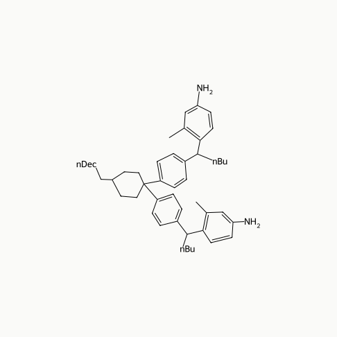 CCCCCCCCCCCC1CCC(c2ccc(C(CCCC)c3ccc(N)cc3C)cc2)(c2ccc(C(CCCC)c3ccc(N)cc3C)cc2)CC1